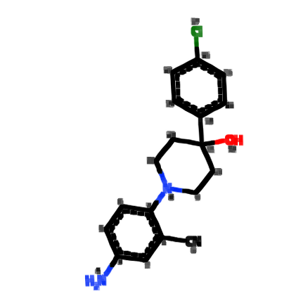 N#Cc1cc(N)ccc1N1CCC(O)(c2ccc(Cl)cc2)CC1